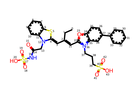 CCC(/C=C1\Sc2ccccc2N1CC(=O)NS(=O)(=O)O)=C\c1oc2ccc(-c3ccccc3)cc2[n+]1CCCS(=O)(=O)O